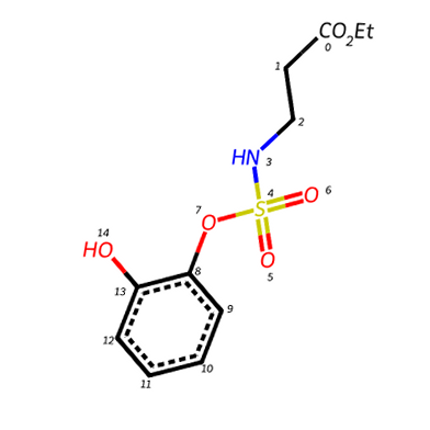 CCOC(=O)CCNS(=O)(=O)Oc1ccccc1O